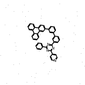 c1ccc(-c2nc(-c3ccncc3)nc(-c3cccc(-c4cccc(-c5ccc6c7ccccc7c7ccccc7c6c5)c4)c3)n2)cc1